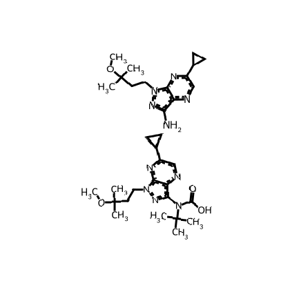 COC(C)(C)CCn1nc(N(C(=O)O)C(C)(C)C)c2ncc(C3CC3)nc21.COC(C)(C)CCn1nc(N)c2ncc(C3CC3)nc21